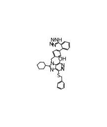 Oc1nnc(SCc2ccccc2)c2nc(C3CCCCC3)n(Cc3ccc(-c4ccccc4-c4nnn[nH]4)cc3)c12